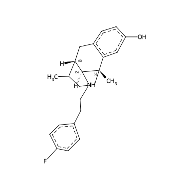 CC1CC[C@@]2(C)c3cc(O)ccc3C[C@@H]1[C@@H]2NCCc1ccc(F)cc1